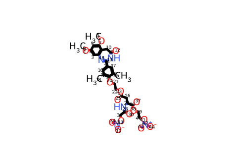 COc1cc2c(c(OC)c1)CC(=O)NC(c1cc(C)c(OCCOC(=O)CC(NC(=O)CO[N+](=O)[O-])C(=O)OCCO[N+](=O)[O-])c(C)c1)=N2